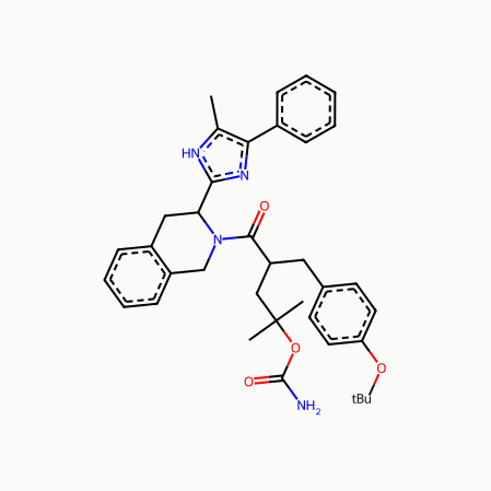 Cc1[nH]c(C2Cc3ccccc3CN2C(=O)C(Cc2ccc(OC(C)(C)C)cc2)CC(C)(C)OC(N)=O)nc1-c1ccccc1